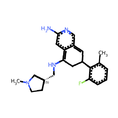 Cc1cccc(F)c1C1C=c2cnc(N)cc2=C(NC[C@@H]2CCN(C)C2)C1